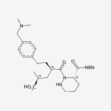 CNC(=O)[C@@H]1CCCNN1C(=O)[C@H](CCc1ccc(CN(C)C)cc1)C[C@H](C)C(=O)O